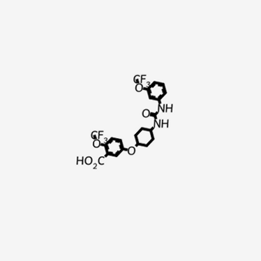 O=C(Nc1cccc(OC(F)(F)F)c1)NC1CCC(Oc2ccc(OC(F)(F)F)c(C(=O)O)c2)CC1